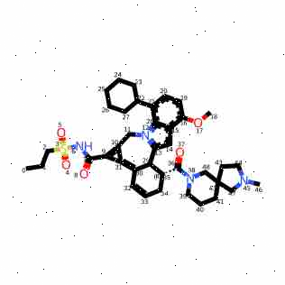 CCCS(=O)(=O)NC(=O)C1=C2Cn3c(cc4c(OC)ccc(C5CCCCC5)c43)C3C(=C21)C=CC[C@H]3C(=O)N1CCCC2(CCN(C)C2)C1